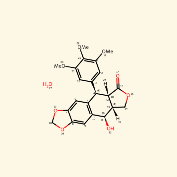 COc1cc([C@@H]2c3cc4c(cc3[C@H](O)[C@H]3COC(=O)[C@@H]23)OCO4)cc(OC)c1OC.O